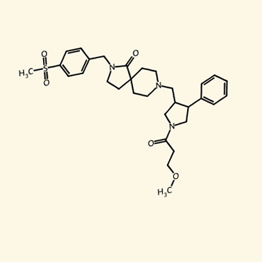 COCCC(=O)N1CC(CN2CCC3(CC2)CCN(Cc2ccc(S(C)(=O)=O)cc2)C3=O)C(c2ccccc2)C1